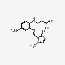 CC(=O)Nc1ccc(NCCN(C)C)c(/N=N/c2n(C)cc[n+]2C)c1